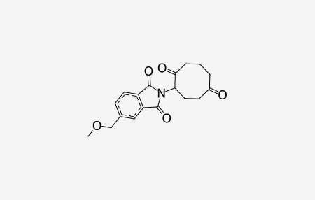 COCc1ccc2c(c1)C(=O)N(C1CCC(=O)CCCC1=O)C2=O